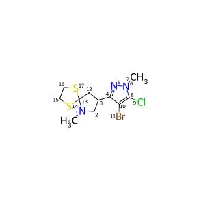 CN1CC(c2nn(C)c(Cl)c2Br)CC12SCCS2